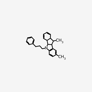 Cc1ccc2c(c1)C1C(C)C3C=CC=CC3C1N2CCCc1ccccc1